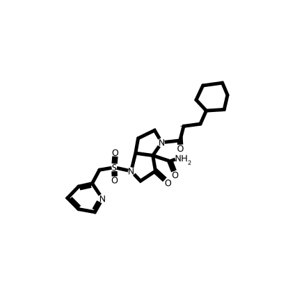 NC(=O)C12C(=O)CN(S(=O)(=O)Cc3ccccn3)C1CCN2C(=O)[CH]CC1CCCCC1